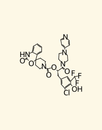 O=C1Nc2ccccc2C2(CCN(C(=O)O[C@H](Cc3cc(Cl)c(O)c(C(F)(F)F)c3)C(=O)N3CCN(c4ccncc4)CC3)CC2)O1